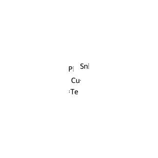 [Cu].[P].[Sn].[Te]